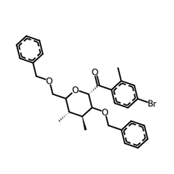 Cc1cc(Br)ccc1C(=O)[C@H]1OC(COCc2ccccc2)[C@@H](C)[C@H](C)C1OCc1ccccc1